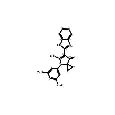 COc1cc(OC)cc(N2C(N)=C(c3nc4ccccc4[nH]3)C(=O)C23CC3)c1